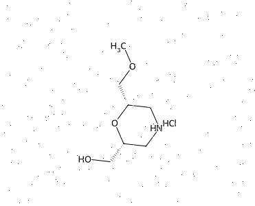 COC[C@@H]1CNC[C@H](CO)O1.Cl